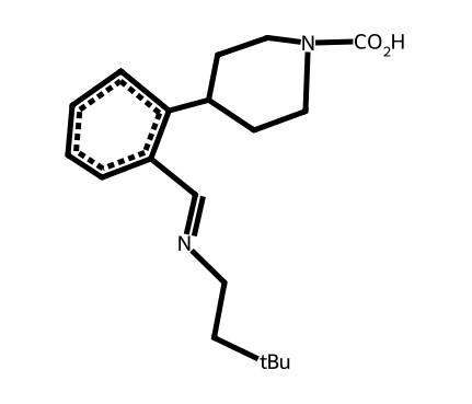 CC(C)(C)CCN=Cc1ccccc1C1CCN(C(=O)O)CC1